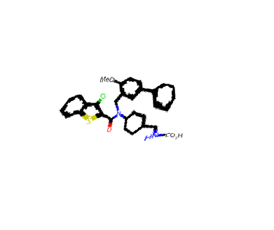 COc1ccc(-c2ccccc2)cc1CN(C(=O)c1sc2ccccc2c1Cl)C1CCC(CNC(=O)O)CC1